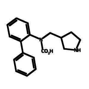 O=C(O)N(CC1CCNC1)c1ccccc1-c1ccccc1